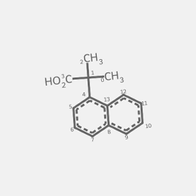 CC(C)(C(=O)O)c1cccc2ccccc12